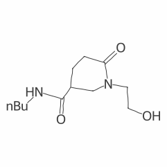 CCCCNC(=O)C1CCC(=O)N(CCO)C1